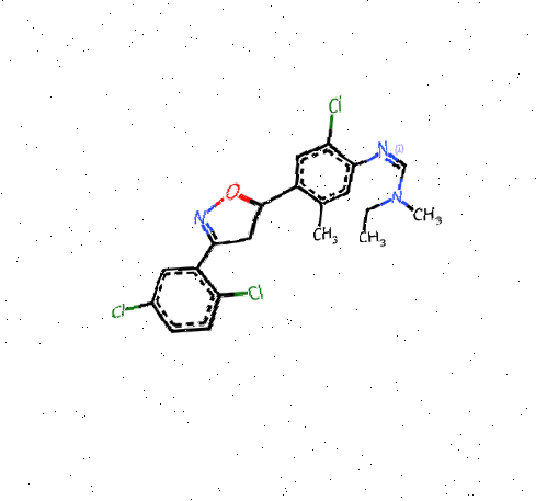 CCN(C)/C=N\c1cc(C)c(C2CC(c3cc(Cl)ccc3Cl)=NO2)cc1Cl